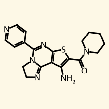 Nc1c(C(=O)N2CCCCC2)sc2c1C1=NCCN1C(c1ccncc1)=N2